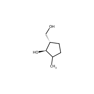 CC1CC[C@@H](CO)[C@@H]1O